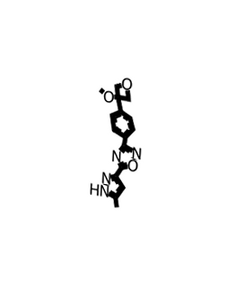 COC1(c2ccc(-c3noc(-c4cc(C)[nH]n4)n3)cc2)COC1